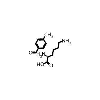 Cc1ccc(C=O)cc1.NCCCC[C@H](N)C(=O)O